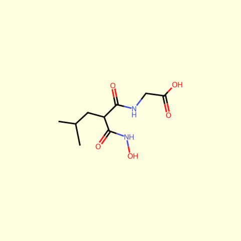 CC(C)CC(C(=O)NO)C(=O)NCC(=O)O